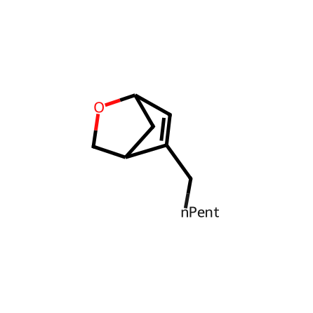 CCCCCCC1=CC2CC1CO2